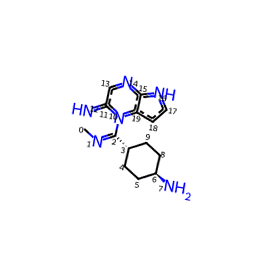 C/N=C(/[C@H]1CC[C@H](N)CC1)n1c(=N)cnc2[nH]ccc21